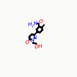 Cc1ccc(-c2ccc(=O)n(CCO)n2)cc1C(N)=O